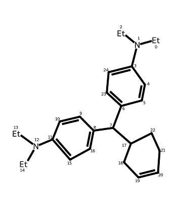 CCN(CC)c1ccc(C(c2ccc(N(CC)CC)cc2)C2CC=CCC2)cc1